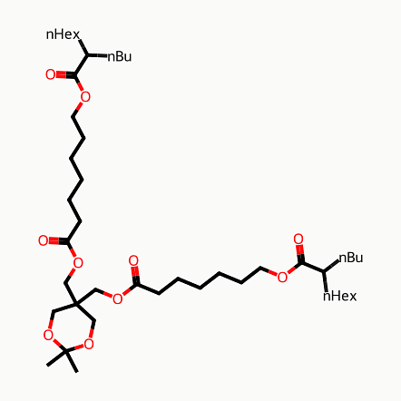 CCCCCCC(CCCC)C(=O)OCCCCCCC(=O)OCC1(COC(=O)CCCCCCOC(=O)C(CCCC)CCCCCC)COC(C)(C)OC1